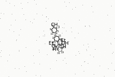 CCc1cc(-c2ccc(C)cc2)cc(CC)c1C1=C(O)[C@H]2CC[C@H](C2)C1=O